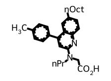 CCCCCCCCc1ccc2nc(N(CCC)CC(=O)O)cc(-c3ccc(C)cc3)c2c1